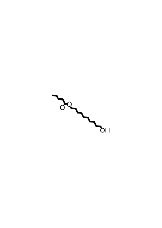 CCC=CC(=O)OCCCCCCCCCCO